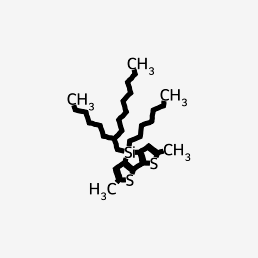 CCCCCCCCC(CCCCCC)C[Si]1(CCCCCCC)c2cc(C)sc2-c2sc(C)cc21